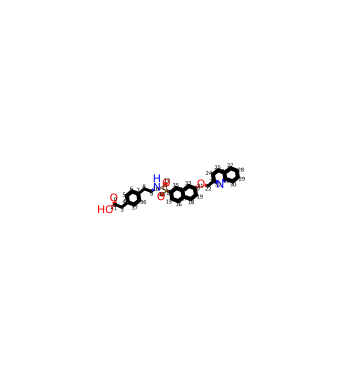 O=C(O)Cc1ccc(CCNS(=O)(=O)c2ccc3ccc(OCc4ccc5ccccc5n4)cc3c2)cc1